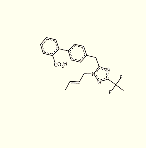 CC=CCn1nc(C(C)(F)F)nc1Cc1ccc(-c2ccccc2C(=O)O)cc1